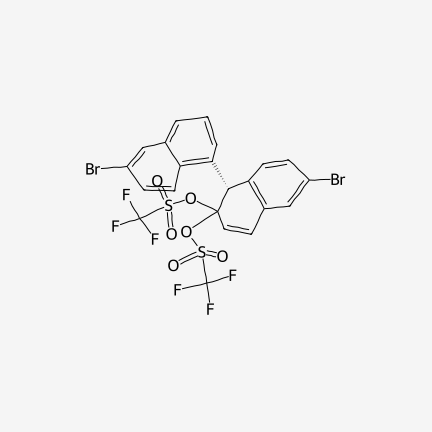 O=S(=O)(OC1(OS(=O)(=O)C(F)(F)F)C=Cc2cc(Br)ccc2[C@H]1c1cccc2cc(Br)ccc12)C(F)(F)F